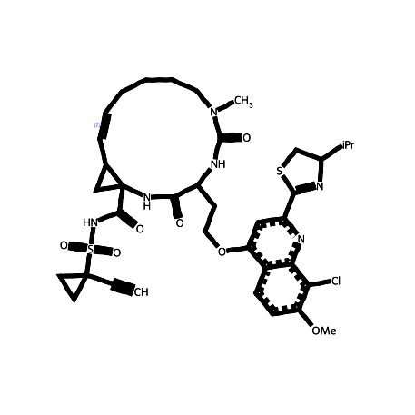 C#CC1(S(=O)(=O)NC(=O)C23CC2/C=C\CCCCN(C)C(=O)NC(CCOc2cc(C4=NC(C(C)C)CS4)nc4c(Cl)c(OC)ccc24)C(=O)N3)CC1